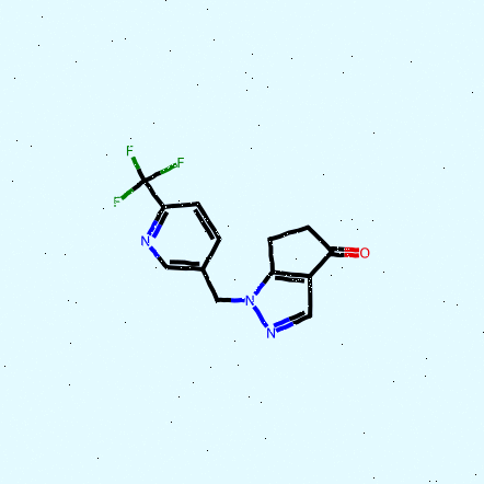 O=C1CCc2c1cnn2Cc1ccc(C(F)(F)F)nc1